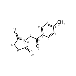 Cc1ccc(C(=O)CN2C(=O)CCC2=O)cc1